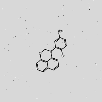 CC(C)(C)c1ccc(Br)c(N2COc3cccc4cccc2c34)c1